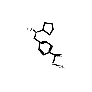 COC(=O)c1ccc(CN(C)C2CCCC2)cc1